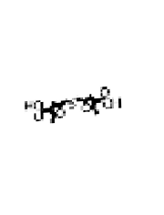 Cc1oc(CSCc2cc(C(=O)O)c(C)o2)cc1C(=O)O